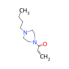 C=CC(=O)N1CCN(CCCC)CC1